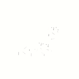 O=c1c(Br)c(OCc2ccc(F)cc2F)ncn1Cc1ccc2[nH]ncc2c1